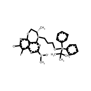 C[C@H]1COc2nc(Cl)c(F)c3nc([S+](C)[O-])nc(c23)N1CCCO[Si](c1ccccc1)(c1ccccc1)C(C)(C)C